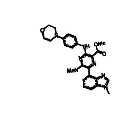 CNc1nc(Nc2ccc(N3CCOCC3)cc2)c(C(=O)OC)nc1-c1cccc2c1ncn2C